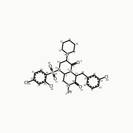 CC(C)N1CC2N(C(=O)C(N3CCCCC3)CN2S(=O)(=O)c2ccc(Cl)cc2Cl)C(Cc2cccc(Cl)c2)C1=O